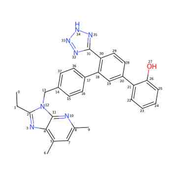 CCc1nc2c(C)cc(C)nc2n1Cc1ccc(-c2cc(-c3ccccc3O)ccc2-c2nn[nH]n2)cc1